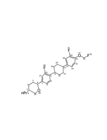 CCCC1CCC(c2ccc(C3CCC(c4ccc(OCF)c(F)c4)CC3)c(F)c2)OC1